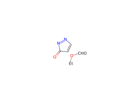 CCOC=O.O=C1C=CN=N1